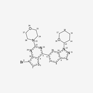 Brc1csc2c(-c3ccc4cnn(C5CCCCO5)c4c3)nc(N3CCOCC3)nc12